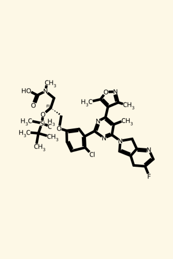 Cc1noc(C)c1-c1nc(-c2cc(OC[C@@H](CN(C)C(=O)O)O[Si](C)(C)C(C)(C)C)ccc2Cl)nc(N2C=C3CC(F)=CN=C3C2)c1C